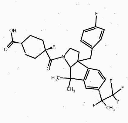 CC1(C)c2cc(C(C)(F)C(F)(F)F)ccc2C2(Cc3ccc(F)cc3)CCN(C(=O)[C@]3(F)CC[C@@H](C(=O)O)CC3)C12